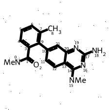 CNC(=O)c1cccc(C)c1-c1ccc2c(NC)nc(N)nc2c1